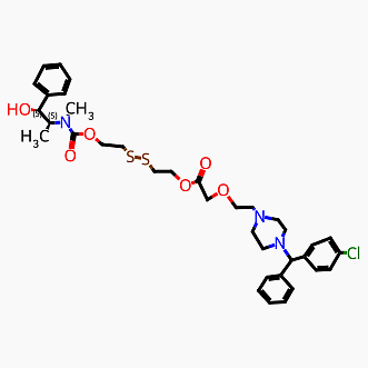 C[C@@H]([C@@H](O)c1ccccc1)N(C)C(=O)OCCSSCCOC(=O)COCCN1CCN(C(c2ccccc2)c2ccc(Cl)cc2)CC1